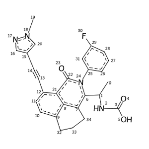 CC(NC(=O)O)c1c2c3c(ccc(C#Cc4cnn(C)c4)c3c(=O)n1-c1cccc(F)c1)CCC2